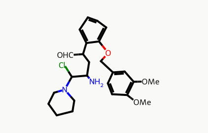 COc1ccc(COc2ccccc2C(C=O)CC(N)C(Cl)N2CCCCC2)cc1OC